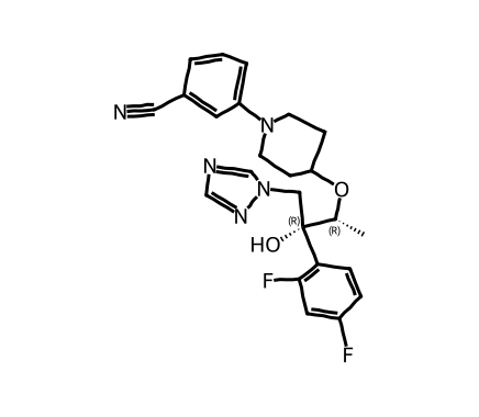 C[C@@H](OC1CCN(c2cccc(C#N)c2)CC1)[C@](O)(Cn1cncn1)c1ccc(F)cc1F